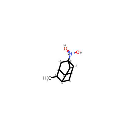 CC1C2CC3CC1CC([N+](=O)[O-])(C3)C2